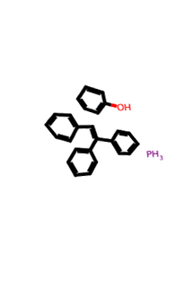 C(=C(c1ccccc1)c1ccccc1)c1ccccc1.Oc1ccccc1.P